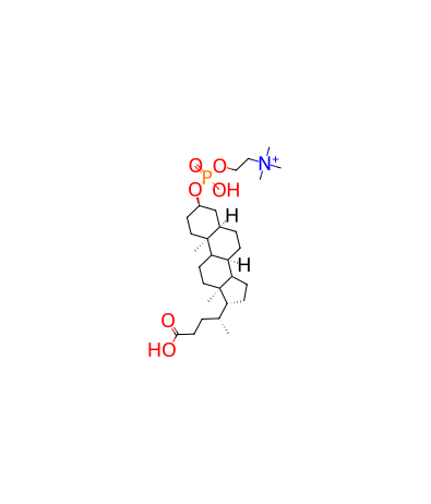 C[C@H](CCC(=O)O)[C@H]1CCC2[C@@H]3CC[C@@H]4C[C@H](OP(=O)(O)OCC[N+](C)(C)C)CC[C@]4(C)C3CC[C@@]21C